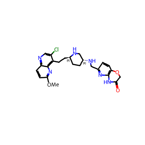 COc1ccc2ncc(Cl)c(CC[C@@H]3CC[C@@H](NCc4ccc5c(n4)NC(=O)CO5)CN3)c2n1